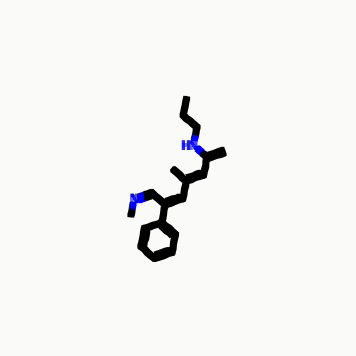 C=C(/C=C(C)/C=C(\C=N/C)c1ccccc1)NCCC